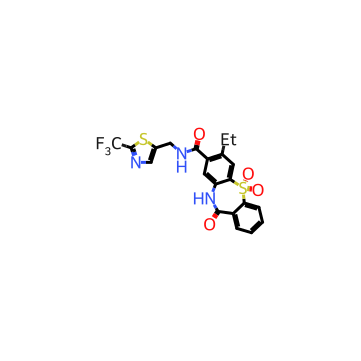 CCc1cc2c(cc1C(=O)NCc1cnc(C(F)(F)F)s1)NC(=O)c1ccccc1S2(=O)=O